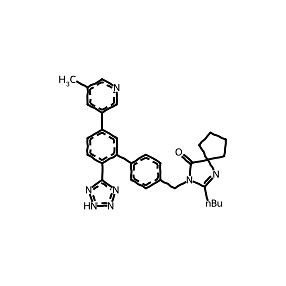 CCCCC1=NC2(CCCC2)C(=O)N1Cc1ccc(-c2cc(-c3cncc(C)c3)ccc2-c2nn[nH]n2)cc1